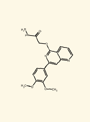 COc1ccc(-c2cc3ncccc3c(OCC(=O)NN)n2)cc1OC